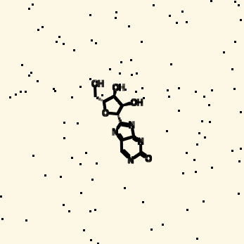 O=C1N=CC2=NC([C@@H]3O[C@H](CO)[C@@H](O)[C@H]3O)=NC2=N1